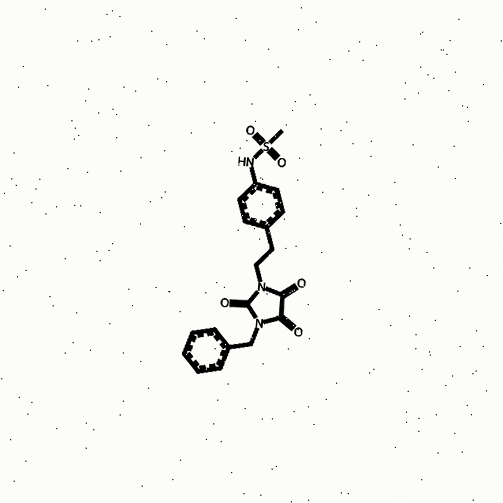 CS(=O)(=O)Nc1ccc(CCN2C(=O)C(=O)N(Cc3ccccc3)C2=O)cc1